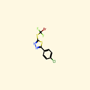 FC(F)(Br)Sc1nnc(-c2ccc(Cl)cc2)s1